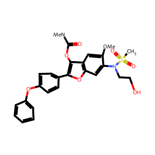 CNC(=O)Oc1c(-c2ccc(Oc3ccccc3)cc2)oc2cc(N(CCO)S(C)(=O)=O)c(OC)cc12